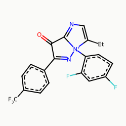 CCC1=CN=C2C(=O)C(c3ccc(C(F)(F)F)cc3)=N[N+]12c1ccc(F)cc1F